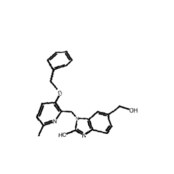 Cc1ccc(OCc2ccccc2)c(Cn2c(O)nc3ccc(CO)cc32)n1